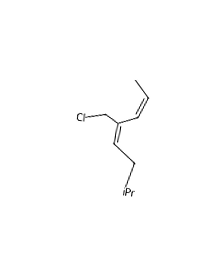 C/C=C\C(=C/CC(C)C)CCl